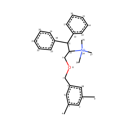 Cc1cc(C)cc(COCC(C(c2ccccc2)c2ccccc2)[N+](C)(C)C)c1